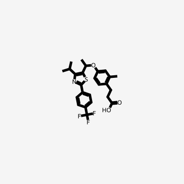 Cc1cc(OC(C)c2sc(-c3ccc(C(F)(F)F)cc3)nc2C(C)C)ccc1CCC(=O)O